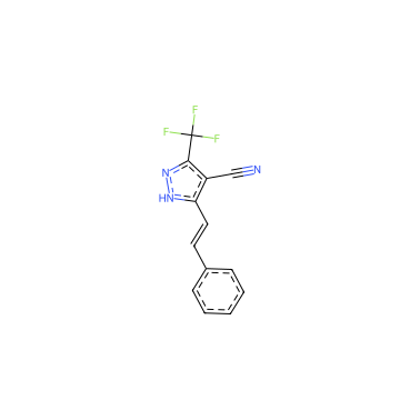 N#Cc1c(C(F)(F)F)n[nH]c1C=Cc1ccccc1